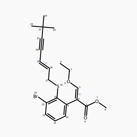 CCO/C=C(/C(=O)OC)c1cccc(Br)c1SC/C=C/C#CC(C)(C)C